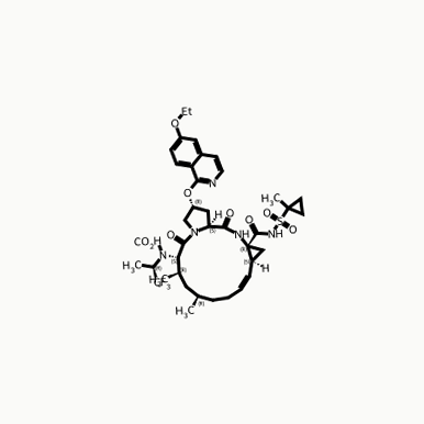 CCOc1ccc2c(O[C@@H]3C[C@H]4C(=O)N[C@]5(C(=O)NS(=O)(=O)C6(C)CC6)C[C@H]5C=CCC[C@@H](C)C[C@@H](C)[C@H](N(C(=O)O)[C@H](C)C(F)(F)F)C(=O)N4C3)nccc2c1